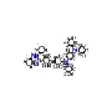 c1ccc(-c2nc3ccccc3nc2-c2ccc(-c3ccc(N(c4ccccc4)c4ccc(N(c5ccccc5)c5ccccc5)cc4)cc3)cc2)cc1